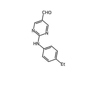 CCc1ccc(Nc2ncc(C=O)cn2)cc1